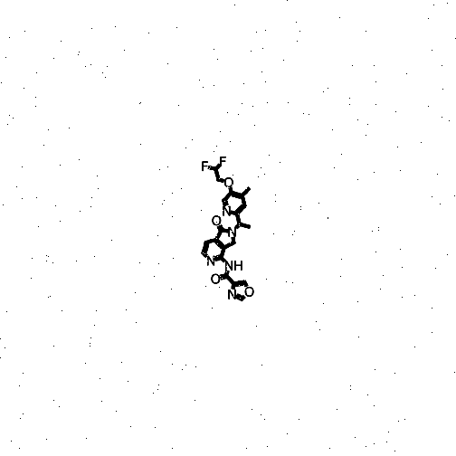 Cc1cc(C(C)N2Cc3c(ccnc3NC(=O)c3cocn3)C2=O)ncc1OCC(F)F